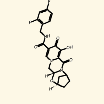 O=C(NCc1ccc(F)cc1F)c1cn2c(c(O)c1=O)C(=O)N1C3CC[C@H](C3)O[C@@H]1C2